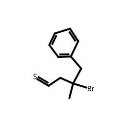 CC(Br)(CC=S)Cc1ccccc1